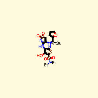 CCN(CC)S(=O)(=O)c1scc(NC2=NS(=O)(=O)C=C2N[C@@H](c2ccco2)C(C)(C)C)c1O